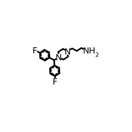 NCCCN1CCN(C(c2ccc(F)cc2)c2ccc(F)cc2)CC1